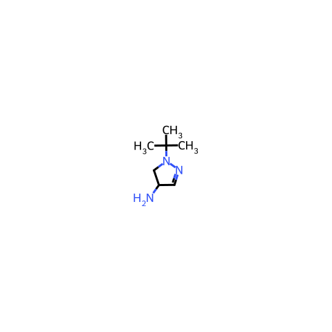 CC(C)(C)N1CC(N)C=N1